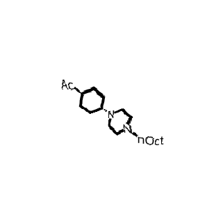 CCCCCCCCN1CCN([C@H]2CC[C@H](C(C)=O)CC2)CC1